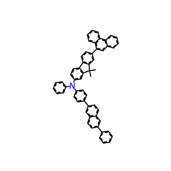 CC1(C)c2cc(-c3cc4ccccc4c4ccccc34)ccc2-c2ccc(N(c3ccccc3)c3ccc(-c4ccc5cc(-c6ccccc6)ccc5c4)cc3)cc21